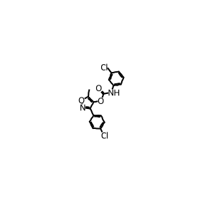 Cc1onc(-c2ccc(Cl)cc2)c1OC(=O)Nc1cccc(Cl)c1